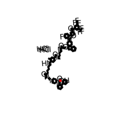 Cc1cc(C(=O)N(C)CCCN(C)C(=O)CO[C@H]2Cc3ccccc3C23CCN(CC[C@@]2(c4ccc(F)cc4)CN(C(=O)c4cc(C(F)(F)F)cc(C(F)(F)F)c4)CO2)CC3)ccc1NCCCCCC(=O)N(C)CCN1CCC(N(C(=O)O)c2ccccc2-c2ccccc2)CC1.Cl.Cl.Cl